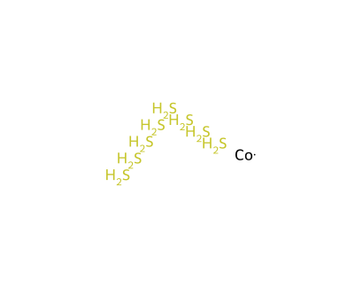 S.S.S.S.S.S.S.S.[Co]